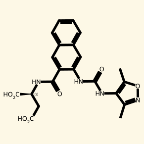 Cc1noc(C)c1NC(=O)Nc1cc2ccccc2cc1C(=O)N[C@@H](CC(=O)O)C(=O)O